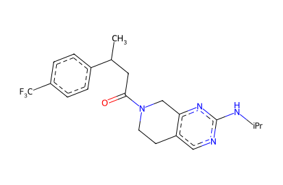 CC(C)Nc1ncc2c(n1)CN(C(=O)CC(C)c1ccc(C(F)(F)F)cc1)CC2